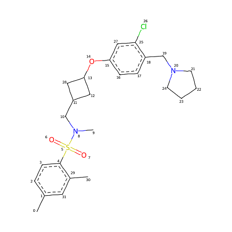 Cc1ccc(S(=O)(=O)N(C)CC2CC(Oc3ccc(CN4CCCC4)c(Cl)c3)C2)c(C)c1